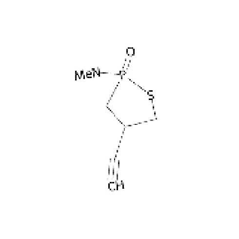 C#CC1CSP(=O)(NC)C1